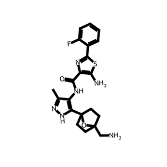 Cc1n[nH]c(C23CCC(CN)(CC2)O3)c1NC(=O)c1nc(-c2ccccc2F)sc1N